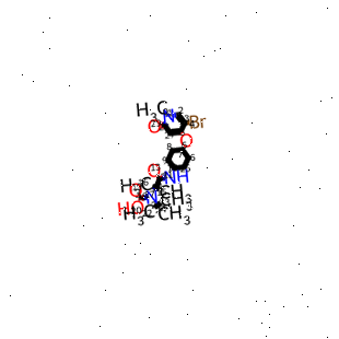 Cn1cc(Br)c(O[C@H]2CC[C@H](NC(=O)C(C)(C)N(C(=O)O)C(C)(C)C)CC2)cc1=O